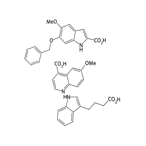 COc1cc2cc(C(=O)O)[nH]c2cc1OCc1ccccc1.COc1ccc2nccc(C(=O)O)c2c1.O=C(O)CCCc1c[nH]c2ccccc12